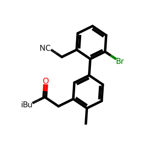 CCC(C)C(=O)Cc1cc(-c2c(Br)cccc2CC#N)ccc1C